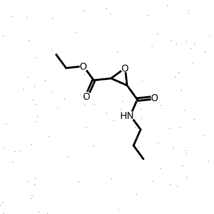 CCCNC(=O)C1OC1C(=O)OCC